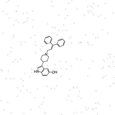 Oc1ccc2[nH]cc(C3CCN(CC=C(c4ccccc4)c4ccccc4)CC3)c2c1